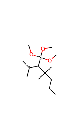 CCCC(C)(C)C([C](C)C)[Si](OC)(OC)OC